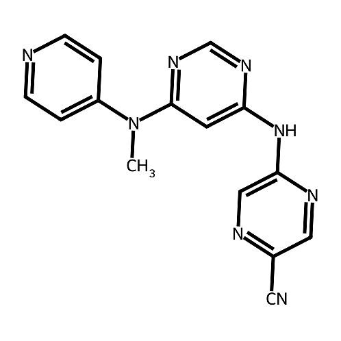 CN(c1ccncc1)c1cc(Nc2cnc(C#N)cn2)ncn1